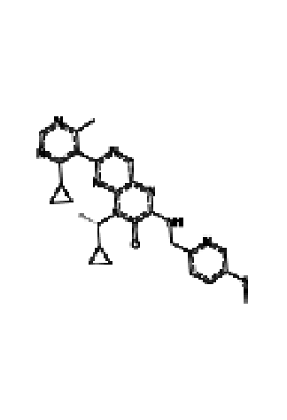 CSc1ccc(CNc2nc3cnc(-c4c(C)ncnc4C4CC4)nc3n([C@@H](C)C3CC3)c2=O)nc1